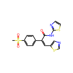 CS(=O)(=O)c1ccc(C(=Cc2cncs2)C(=O)Nc2nccs2)cc1